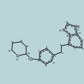 c1cc(CCc2ccc(OC3CCCCO3)cc2)c2nc[nH]c2c1